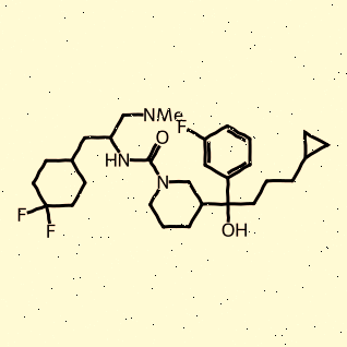 CNCC(CC1CCC(F)(F)CC1)NC(=O)N1CCCC(C(O)(CCCC2CC2)c2cccc(F)c2)C1